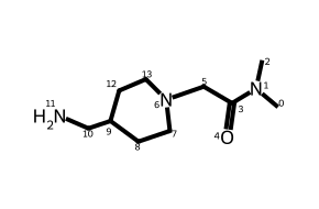 CN(C)C(=O)CN1CCC(CN)CC1